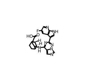 O=C(O)[C@H]1C2CCC(CC2)[C@@H]1Nc1nc(-c2c[nH]c3ncc(F)cc23)nn2cncc12